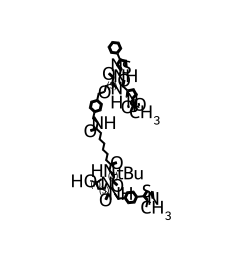 Cc1ncsc1-c1ccc(CNC(=O)[C@@H]2C[C@@H](O)CN2C(=O)[C@@H](NC(=O)CCCCCCC(=O)NCc2ccc(COC[C@H](NC(=O)c3ccn(S(C)(=O)=O)c3)C(=O)Nc3nc(-c4ccccc4)cs3)cc2)C(C)(C)C)cc1